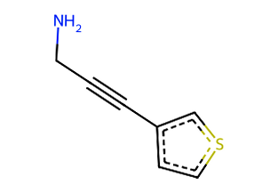 NCC#Cc1ccsc1